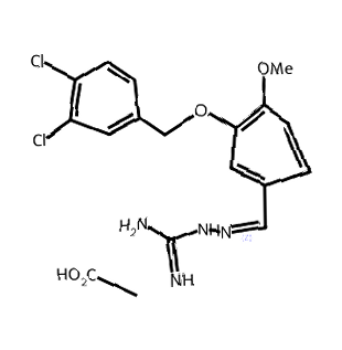 CC(=O)O.COc1ccc(/C=N\NC(=N)N)cc1OCc1ccc(Cl)c(Cl)c1